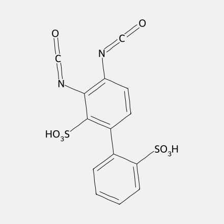 O=C=Nc1ccc(-c2ccccc2S(=O)(=O)O)c(S(=O)(=O)O)c1N=C=O